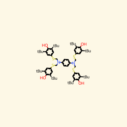 CC(C)(C)c1cc(SCN(CSc2cc(C(C)(C)C)c(O)c(C(C)(C)C)c2)c2ccc(N(CSc3cc(C(C)(C)C)c(O)c(C(C)(C)C)c3)CSc3cc(C(C)(C)C)c(O)c(C(C)(C)C)c3)cc2)cc(C(C)(C)C)c1O